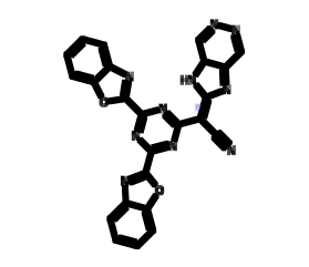 N#C/C(=C1\N=C2C=NN=CC2N1)c1nc(-c2nc3ccccc3o2)nc(-c2nc3ccccc3o2)n1